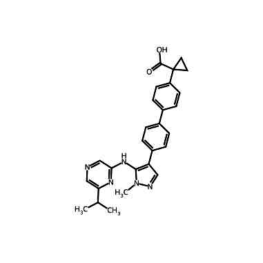 CC(C)c1cncc(Nc2c(-c3ccc(-c4ccc(C5(C(=O)O)CC5)cc4)cc3)cnn2C)n1